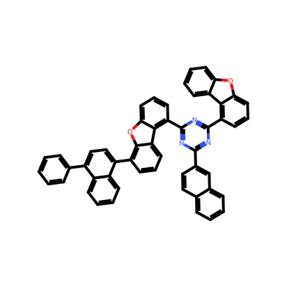 c1ccc(-c2ccc(-c3cccc4c3oc3cccc(-c5nc(-c6ccc7ccccc7c6)nc(-c6cccc7oc8ccccc8c67)n5)c34)c3ccccc23)cc1